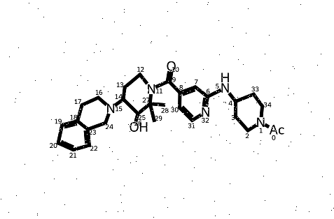 CC(=O)N1CCC(Nc2cc(C(=O)N3CCC(N4CCc5ccccc5C4)C(O)C3(C)C)ccn2)CC1